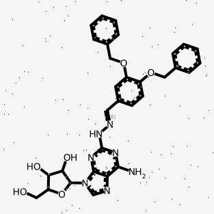 Nc1nc(N/N=C/c2ccc(OCc3ccccc3)c(OCc3ccccc3)c2)nc2c1ncn2C1OC(CO)C(O)C1O